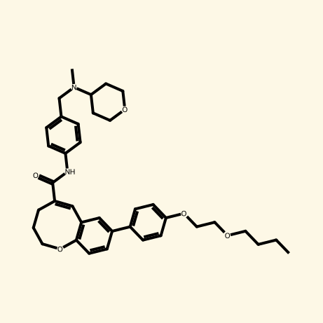 CCCCOCCOc1ccc(-c2ccc3c(c2)/C=C(/C(=O)Nc2ccc(CN(C)C4CCOCC4)cc2)CCCO3)cc1